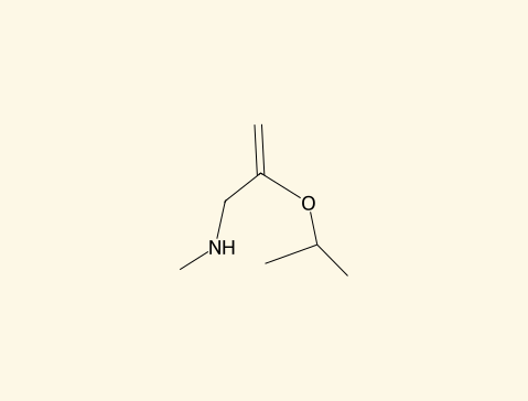 C=C(CNC)OC(C)C